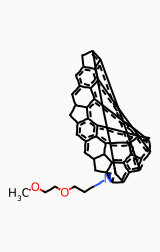 COCCOCCN1CC2C3=c4c5c6c7c8c9c(cc%10c%11c%12c%13c%14c(cc%15c%16c(c4c6c(c%16%14)c%13c7c%119)=C(C3)C%15)=CC%12C%10)=CC3CC2(C1)C=5C83